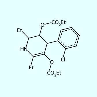 CCOC(=O)OC1=C(CC)NC(CC)C(OC(=O)OCC)C1c1ccccc1Cl